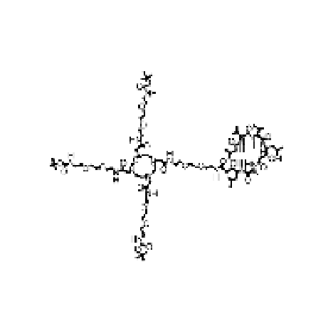 CC(C)CC(=O)N[C@H](C(=O)N[C@H](C(=O)N[C@@H](CC(C)C)[C@@H](O)CC(=O)N[C@@H](C)C(=O)N[C@@H](CC(C)C)[C@@H](O)CC(=O)NCCOCCOCCNC(=O)CN1CCN(CC(=O)NCCOCCOCCNC(=O)OC(C)(C)C)CCN(CC(=O)NCCOCCOCCNC(=O)OC(C)(C)C)CCN(CC(=O)NCCOCCOCCNC(=O)OC(C)(C)C)CC1)C(C)C)C(C)C